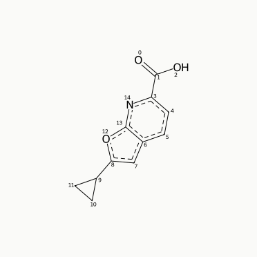 O=C(O)c1ccc2cc(C3CC3)oc2n1